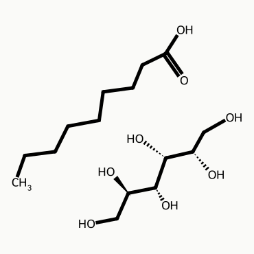 CCCCCCCCC(=O)O.OC[C@@H](O)[C@@H](O)[C@H](O)[C@@H](O)CO